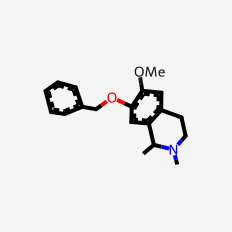 COc1cc2c(cc1OCc1ccccc1)C(C)N(C)CC2